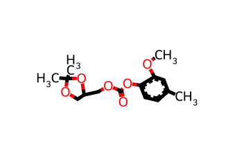 COc1cc(C)ccc1OC(=O)OCC1COC(C)(C)O1